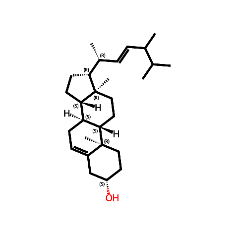 CC(C)C(C)C=C[C@@H](C)[C@H]1CC[C@H]2[C@@H]3CC=C4C[C@@H](O)CC[C@]4(C)[C@H]3CC[C@]12C